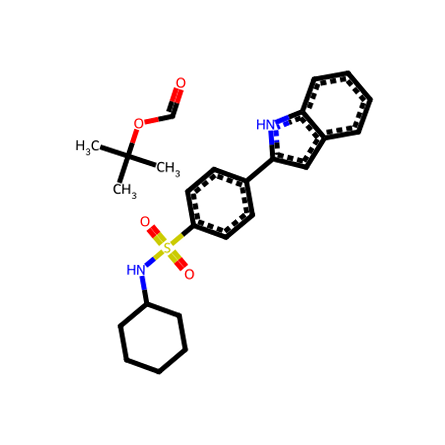 CC(C)(C)OC=O.O=S(=O)(NC1CCCCC1)c1ccc(-c2cc3ccccc3[nH]2)cc1